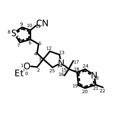 CCOCC1(CCc2cscc2C#N)CCN(C(C)(C)c2ccc(C)nc2)C1